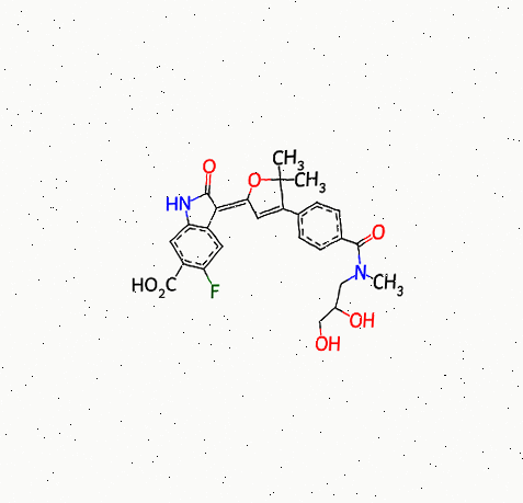 CN(CC(O)CO)C(=O)c1ccc(C2=CC(=C3C(=O)Nc4cc(C(=O)O)c(F)cc43)OC2(C)C)cc1